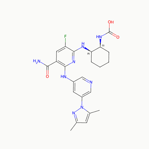 Cc1cc(C)n(-c2cncc(Nc3nc(N[C@@H]4CCCC[C@@H]4NC(=O)O)c(F)cc3C(N)=O)c2)n1